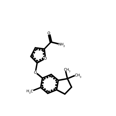 Cc1cc2c(cc1Oc1ccc(C(N)=O)o1)C(C)(C)CC2